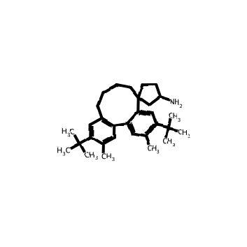 Cc1cc2c(cc1C(C)(C)C)CCCCC1(CCC(N)C1)c1cc(C(C)(C)C)c(C)cc1-2